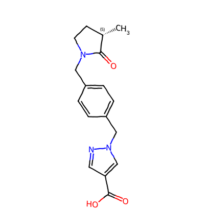 C[C@H]1CCN(Cc2ccc(Cn3cc(C(=O)O)cn3)cc2)C1=O